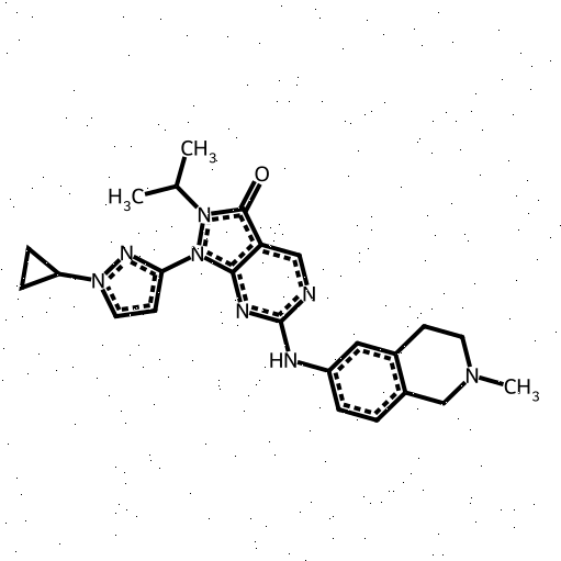 CC(C)n1c(=O)c2cnc(Nc3ccc4c(c3)CCN(C)C4)nc2n1-c1ccn(C2CC2)n1